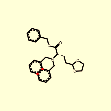 O=C(OCc1ccccc1)[C@H](CCC1OCCO1)N(Cc1ccccc1)Cc1ccccc1